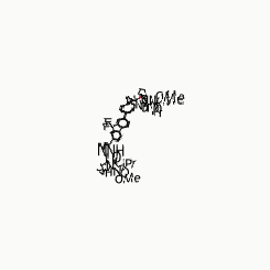 COC(=O)NC(C(=O)N1CC2(CC2)CC1c1ncc(-c2ccc3c(c2)C(F)(F)c2cc(-c4ccc5nc(C6C7CCC(C7)N6C(=O)C(NC(=O)OC)C(C)C)[nH]c5c4)ccc2-3)[nH]1)C(C)C